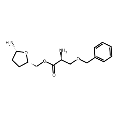 N[C@H]1CC[C@@H](COC(=O)[C@@H](N)COCc2ccccc2)O1